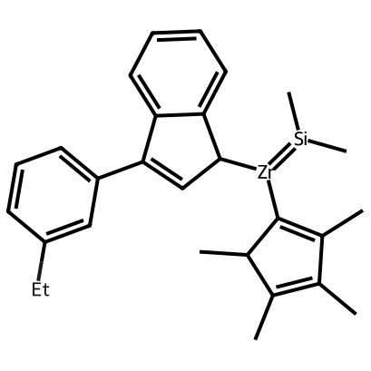 CCc1cccc(C2=C[CH]([Zr]([C]3=C(C)C(C)=C(C)C3C)=[Si](C)C)c3ccccc32)c1